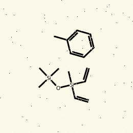 C=C[Si](C)(C=C)O[Si](C)(C)C.Cc1ccccc1